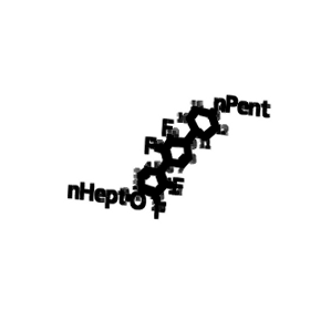 CCCCCCCOc1ccc(-c2ccc(C3CCC(CCCCC)CC3)c(F)c2F)c(F)c1F